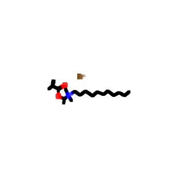 C=C(C)C(=O)OC(C)[N+](C)(C)CCCCCCCCCCC.[Br-]